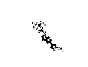 Cn1cc(-c2cnc3c(c2)c(I)cn3OC(=O)OC(C)(C)C)cn1